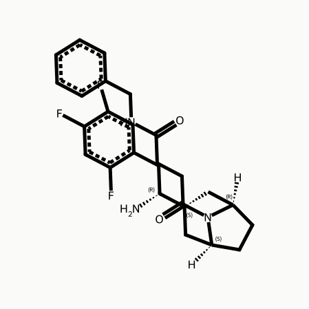 N[C@H](Cc1cc(F)c(F)cc1F)[C@@H]1C[C@H]2CC[C@@H](C1)N2C(=O)CCC(=O)NCc1ccccc1